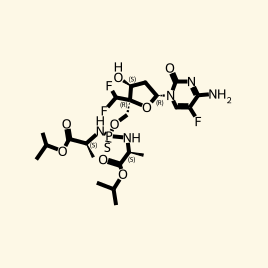 CC(C)OC(=O)[C@H](C)NP(=S)(N[C@@H](C)C(=O)OC(C)C)OC[C@@]1(C(F)F)O[C@@H](n2cc(F)c(N)nc2=O)C[C@@H]1O